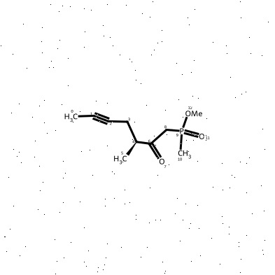 CC#CC[C@H](C)C(=O)CP(C)(=O)OC